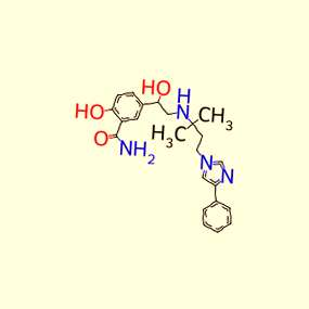 CC(C)(CCn1cnc(-c2ccccc2)c1)NCC(O)c1ccc(O)c(C(N)=O)c1